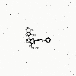 CCCCCCNc1nc(C#CCOc2ccccc2)nc2c1ncn2[C@@H]1O[C@H](CO)[C@H](O)[C@H]1O